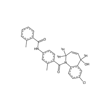 [2H]C1(O)C=CC([2H])([2H])N(C(=O)c2ccc(NC(=O)c3ccccc3C)cc2C)c2ccc(Cl)cc21